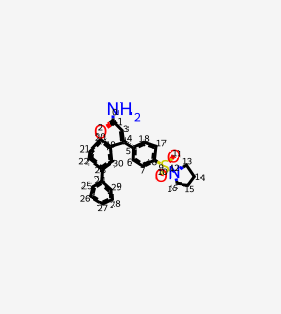 NC(=O)C=C(c1ccc(S(=O)(=O)N2CCCC2)cc1)c1cccc(-c2ccccc2)c1